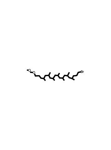 COCOCCCC(C)CC(C)CC(C)CC(C)CC(C)CC(C)CC(C)CCCBr